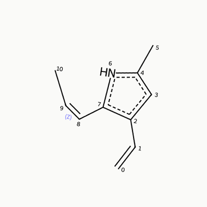 C=Cc1cc(C)[nH]c1/C=C\C